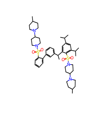 CC1CCN(C2CCN(S(=O)(=O)c3ccccc3-c3cccc(C(C)c4cc(C(C)C)cc(C(C)C)c4S(=O)(=O)N4CCC(N5CCC(C)CC5)CC4)c3)CC2)CC1